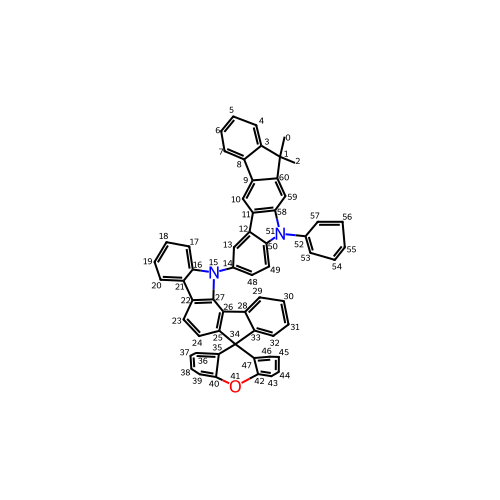 CC1(C)c2ccccc2-c2cc3c4cc(-n5c6ccccc6c6ccc7c(c65)-c5ccccc5C75c6ccccc6Oc6ccccc65)ccc4n(-c4ccccc4)c3cc21